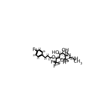 CNC1=N[C@@H]2[C@@H](O)[C@H](O)[C@@H]([C@@H](OCCCc3ccc(F)cc3)C(F)(F)F)O[C@@H]2S1